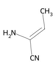 CC=C(N)C#N